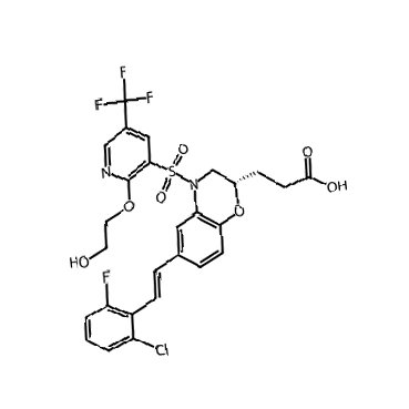 O=C(O)CC[C@H]1CN(S(=O)(=O)c2cc(C(F)(F)F)cnc2OCCO)c2cc(/C=C/c3c(F)cccc3Cl)ccc2O1